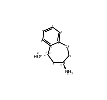 N[C@@H]1COc2ccccc2[C@@H](O)C1